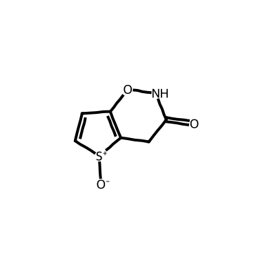 O=C1Cc2c(cc[s+]2[O-])ON1